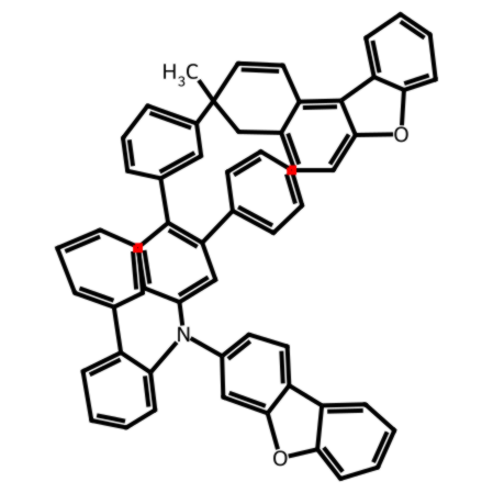 CC1(c2cccc(-c3ccc(N(c4ccc5c(c4)oc4ccccc45)c4ccccc4-c4ccccc4)cc3-c3ccccc3)c2)C=Cc2c(ccc3oc4ccccc4c23)C1